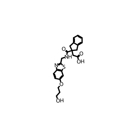 O=C(O)CC1(C(=O)NCc2nc3ccc(OCCCO)cc3s2)Cc2ccccc2C1